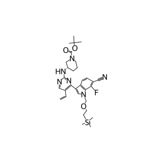 C=Cc1cnc(N[C@H]2CCCN(C(=O)OC(C)(C)C)C2)nc1-c1cn(COCC[Si](C)(C)C)c2c(F)c(C#N)ccc12